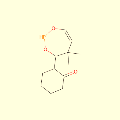 CC1(C)C=COPOC1C1CCCCC1=O